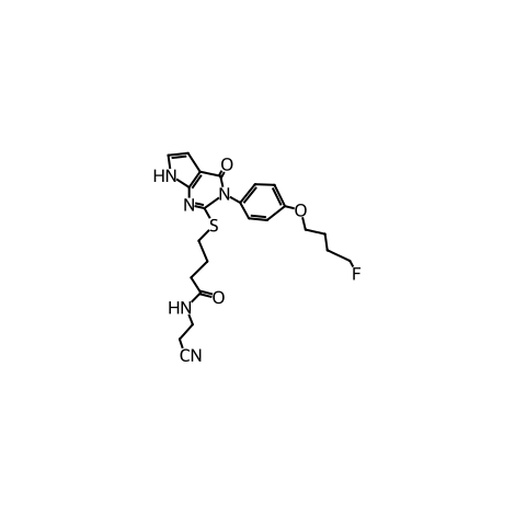 N#CCCNC(=O)CCCSc1nc2[nH]ccc2c(=O)n1-c1ccc(OCCCCF)cc1